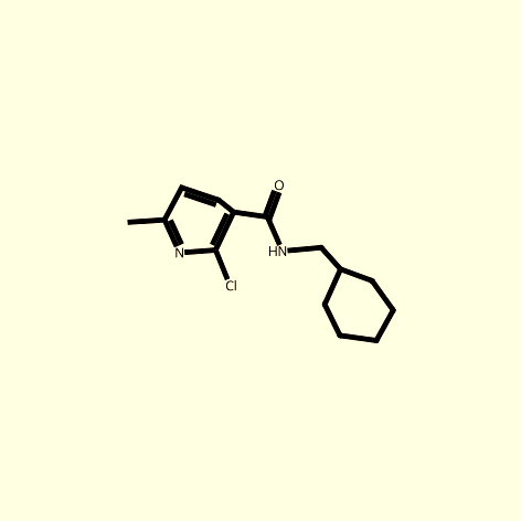 Cc1ccc(C(=O)NCC2CCCCC2)c(Cl)n1